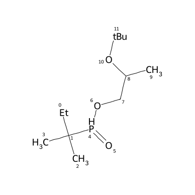 CCC(C)(C)[PH](=O)OCC(C)OC(C)(C)C